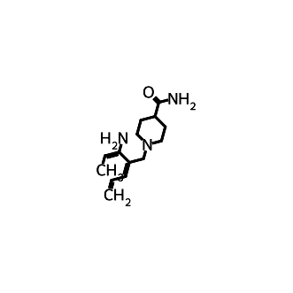 C=C/C=C(CN1CCC(C(N)=O)CC1)\C(N)=C/C